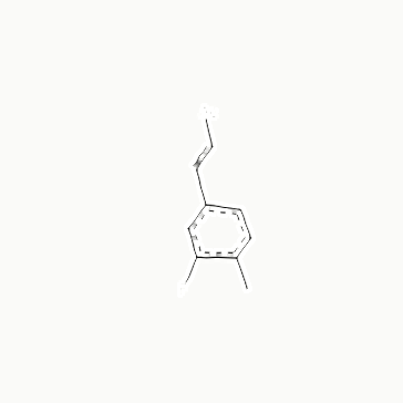 CC(=O)/C=C/c1ccc(C)c(F)c1